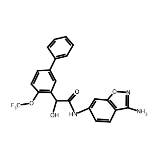 Nc1noc2cc(NC(=O)C(O)c3cc(-c4ccccc4)ccc3OC(F)(F)F)ccc12